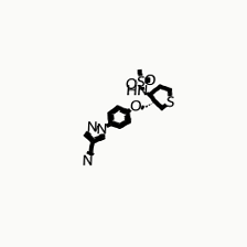 CS(=O)(=O)N[C@H]1CCSC[C@@H]1COc1ccc(-n2cc(C#N)cn2)cc1